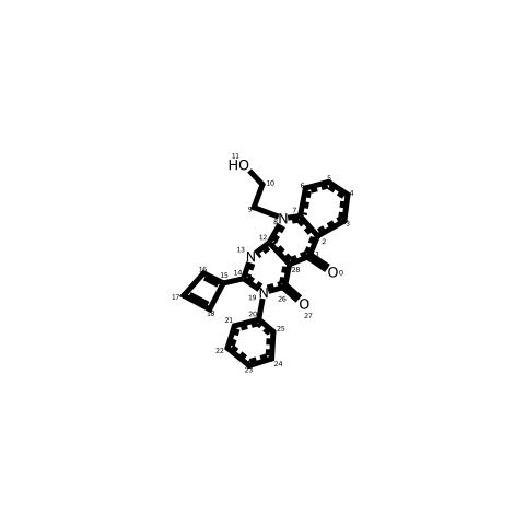 O=c1c2ccccc2n(CCO)c2nc(C3=CC=C3)n(-c3ccccc3)c(=O)c12